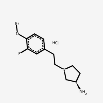 CCOc1ccc(CCN2CC[C@@H](N)C2)cc1F.Cl